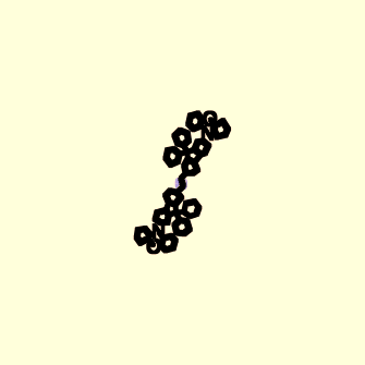 C1=CCC(C2(c3ccccc3)c3cc(/C=C/c4ccc5c(c4)C(c4ccccc4)(c4ccccc4)c4cc(N6c7ccccc7Oc7ccccc76)ccc4-5)ccc3-c3ccc(N4c5ccccc5Oc5ccccc54)cc32)C=C1